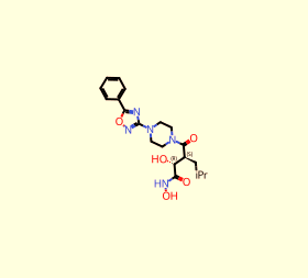 CC(C)C[C@H](C(=O)N1CCN(c2noc(-c3ccccc3)n2)CC1)[C@@H](O)C(=O)NO